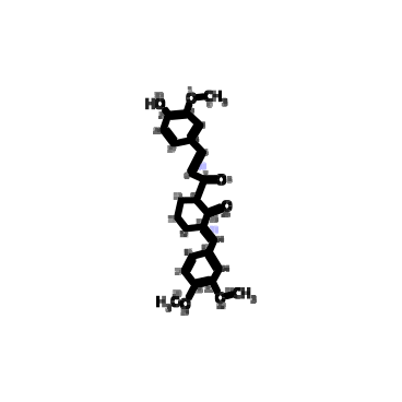 COc1cc(/C=C/C(=O)C2CCC/C(=C\c3ccc(OC)c(OC)c3)C2=O)ccc1O